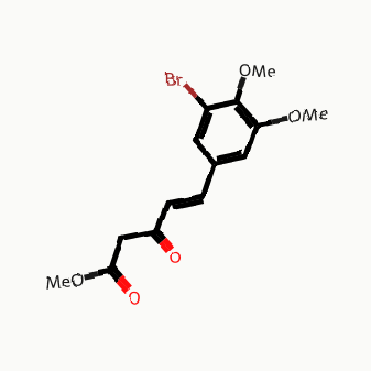 COC(=O)CC(=O)C=Cc1cc(Br)c(OC)c(OC)c1